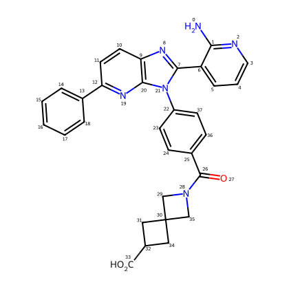 Nc1ncccc1-c1nc2ccc(-c3ccccc3)nc2n1-c1ccc(C(=O)N2CC3(CC(C(=O)O)C3)C2)cc1